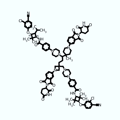 CC(C)C1[C@@H](NC(=O)c2ccc(N3CCN(C(CCC4(CN5CCN(c6ccc(C(=O)N[C@H]7C(C)(C)[C@H](Oc8ccc(C#N)c(Cl)c8)C7(C)C)cc6)CC5)CN(c5ccc6c(c5)C(=O)N(C5CCC(=O)NC5=O)C6=O)C4)C4(C)CCN(c5ccc6c(c5)C(=O)N(C5CCC(=O)NC5=O)C6=O)CC4)CC3)cc2)C(C)(C)[C@@H]1Oc1ccc(C#N)c(Cl)c1